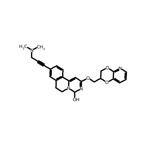 CN(C)CC#Cc1ccc2c(c1)CCN1C2=CC(OCC2COc3ncccc3O2)=NC1O